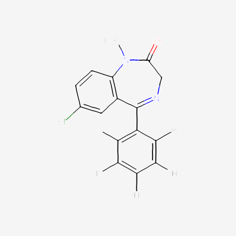 [2H]c1c([2H])c([2H])c(C2=NCC(=O)N(C)c3ccc(Cl)cc32)c([2H])c1[2H]